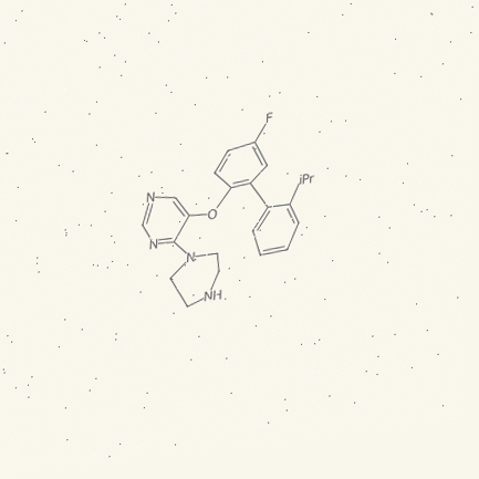 CC(C)c1ccccc1-c1cc(F)ccc1Oc1cncnc1N1CCNCC1